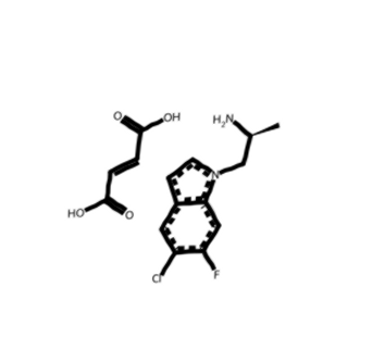 C[C@H](N)Cn1ccc2cc(Cl)c(F)cc21.O=C(O)/C=C/C(=O)O